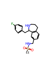 CCS(=O)(=O)NCc1ccc2c(c1)C(Cc1ccc(F)cc1)NCCC2